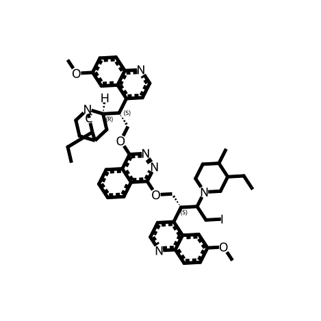 CCC1CN(C(CI)[C@@H](COc2nnc(OC[C@@H](c3ccnc4ccc(OC)cc34)[C@H]3CC4CCN3CC4CC)c3ccccc23)c2ccnc3ccc(OC)cc23)CCC1C